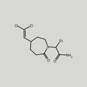 CCC(C(N)=O)N1CCC(C=C(Cl)Cl)CCC1=O